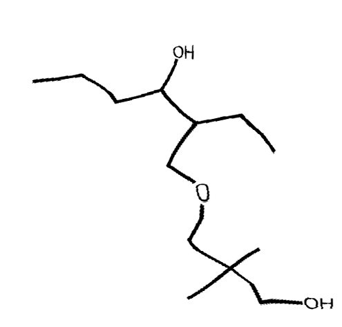 CCCC(O)C(CC)COCC(C)(C)CO